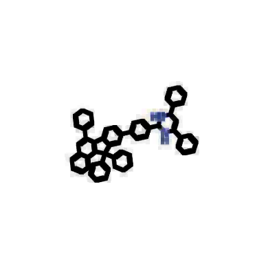 C1=CCCC(C2(c3ccccc3)c3cc(-c4ccc(C5NC(c6ccccc6)=CC(c6ccccc6)N5)cc4)ccc3-c3c(C4=CCCC=C4)cc4ccccc4c32)=C1